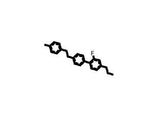 CCCc1ccc(-c2ccc(CCc3ccc(C)cc3)cc2)c(F)c1